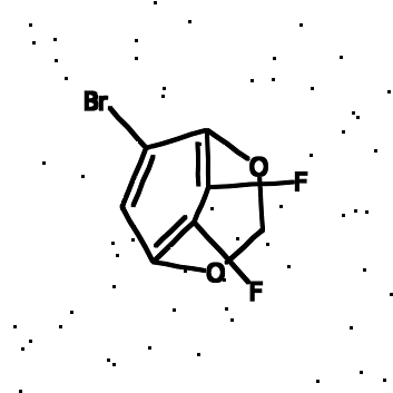 Fc1c2cc(Br)c(c1F)OCO2